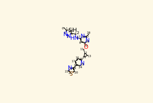 CC1=NN=C(CNc2cc(OC[C@H]3C[C@@H]3c3ccc(-c4cscn4)cn3)nc(C)n2)[SiH2]1